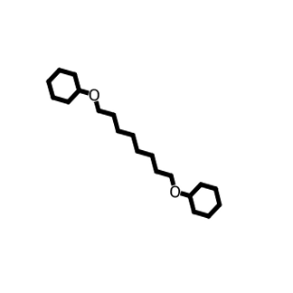 C(CCCCOC1CCCCC1)CCCOC1CCCCC1